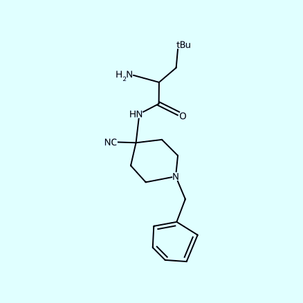 CC(C)(C)CC(N)C(=O)NC1(C#N)CCN(Cc2ccccc2)CC1